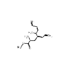 C=C/C=C(/C[C@H](N)C(=O)OC)C(C)/C=C\C=N